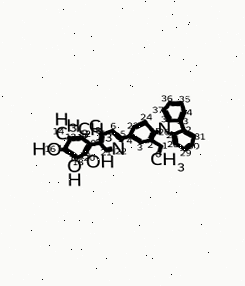 CCc1cc(-c2cc(C)c(-c3c(C)c(C)c(O)c(O)c3O)cn2)ccc1-n1c2ccccc2c2ccccc21